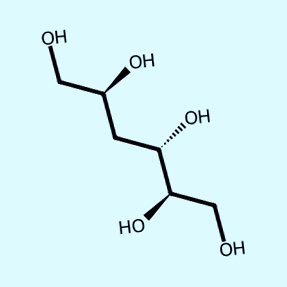 OC[C@@H](O)C[C@H](O)[C@H](O)CO